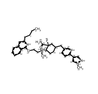 CCCCc1cc2ccccc2c(OCC[N+](C)(C)[C@H]2CCC(Cc3ccc(-c4cnn(C)c4)nc3)C[C@@]2(F)C(N)=O)n1